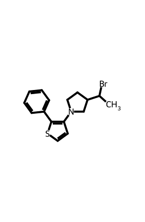 CC(Br)C1CCN(c2ccsc2-c2ccccc2)C1